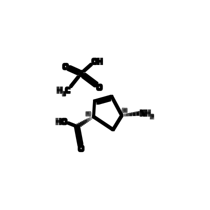 CS(=O)(=O)O.N[C@H]1C=C[C@@H](C(=O)O)C1